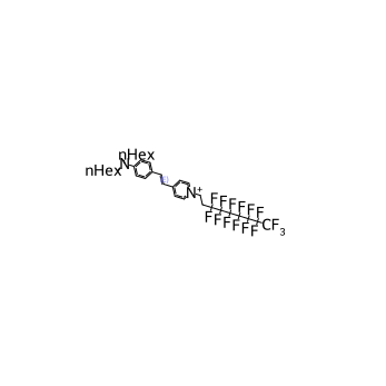 CCCCCCN(CCCCCC)c1ccc(/C=C/c2cc[n+](CCC(F)(F)C(F)(F)C(F)(F)C(F)(F)C(F)(F)C(F)(F)C(F)(F)F)cc2)cc1